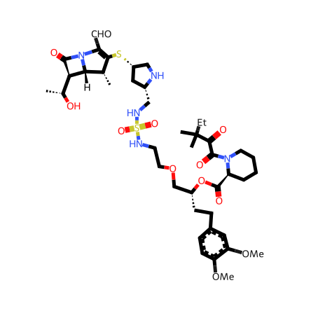 CCC(C)(C)C(=O)C(=O)N1CCCC[C@H]1C(=O)O[C@H](CCc1ccc(OC)c(OC)c1)COCCNS(=O)(=O)NC[C@@H]1C[C@H](SC2=C(C=O)N3C(=O)[C@H]([C@@H](C)O)[C@H]3[C@H]2C)CN1